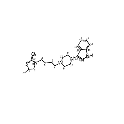 CC1CN(CCCCN2CCN(c3n[nH]c4ccccc34)CC2)C(=O)S1